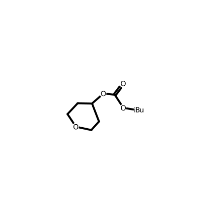 CCC(C)OC(=O)OC1CCOCC1